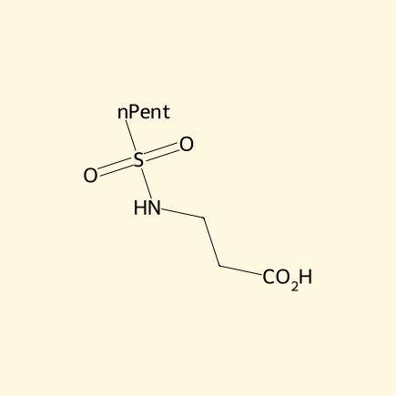 CCCCCS(=O)(=O)NCCC(=O)O